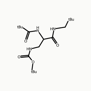 CC(C)(C)CNC(=O)C(CNC(=O)OC(C)(C)C)NC(=O)C(C)(C)C